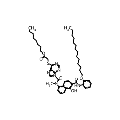 CCCCCCCCCCCCCCOc1ccccc1NC(=O)c1ccc2c(N(C)C(=O)n3cnc4c(SCC(=O)OCCCCCCCC)ncnc43)cccc2c1O